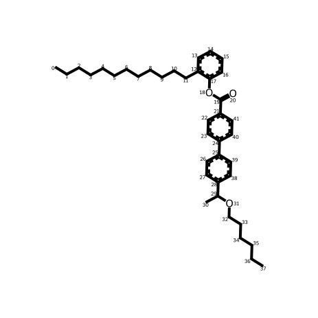 CCCCCCCCCCCCc1ccccc1OC(=O)c1ccc(-c2ccc(C(C)OCCCCCC)cc2)cc1